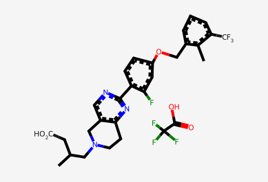 Cc1c(COc2ccc(-c3ncc4c(n3)CCN(CC(C)CC(=O)O)C4)c(F)c2)cccc1C(F)(F)F.O=C(O)C(F)(F)F